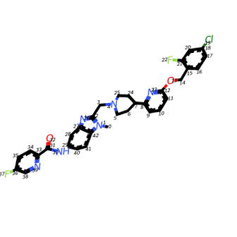 Cn1c(CN2CCC(c3cccc(OCc4ccc(Cl)cc4F)n3)CC2)nc2cc(NC(=O)c3ccc(F)cn3)ccc21